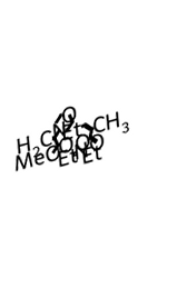 C=C(C(=O)OC)N1CCOCC1.CCC=C(C)C(=O)ON(CC)CC